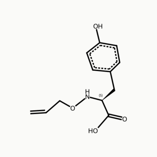 C=CCON[C@@H](Cc1ccc(O)cc1)C(=O)O